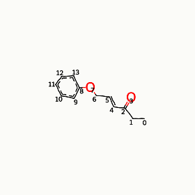 CCC(=O)/C=C/COc1ccccc1